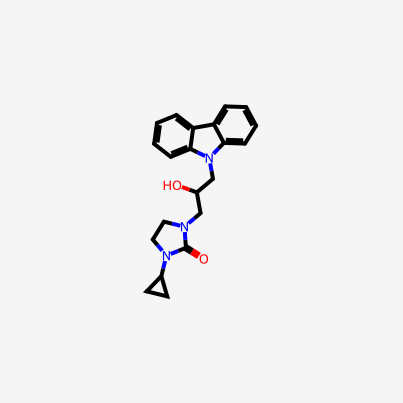 O=C1N(CC(O)Cn2c3ccccc3c3ccccc32)CCN1C1CC1